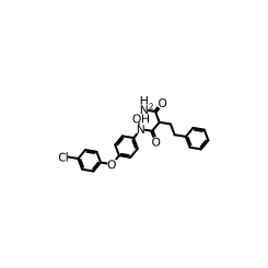 NC(=O)C(CCc1ccccc1)C(=O)N(O)c1ccc(Oc2ccc(Cl)cc2)cc1